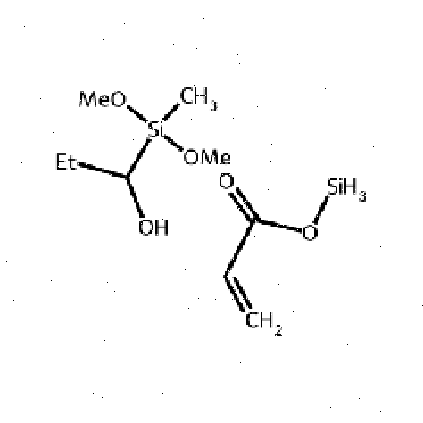 C=CC(=O)O[SiH3].CCC(O)[Si](C)(OC)OC